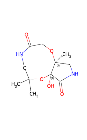 CC1(C)CNC(=O)CO[C@@]2(C)CNC(=O)[C@@]2(O)O1